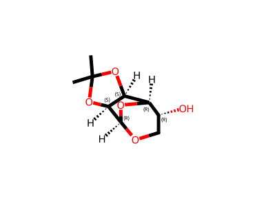 CC1(C)O[C@@H]2[C@H](O1)[C@@H]1OC[C@@H](O)[C@H]2O1